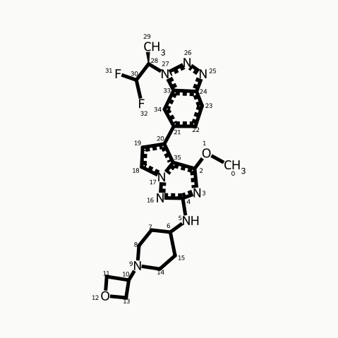 COc1nc(NC2CCN(C3COC3)CC2)nn2ccc(-c3ccc4nnn([C@H](C)C(F)F)c4c3)c12